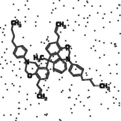 C=CCc1ccc(C(C)(c2ccccc2)c2ccc(CC=C)c3c2CN(c2ccc(CCCC)cc2)CO3)c2c1OCN(c1ccc(CCCC)cc1)C2